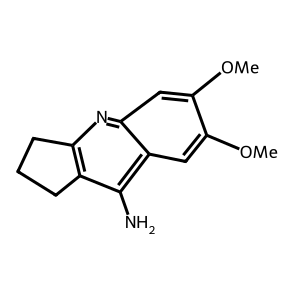 COc1cc2nc3c(c(N)c2cc1OC)CCC3